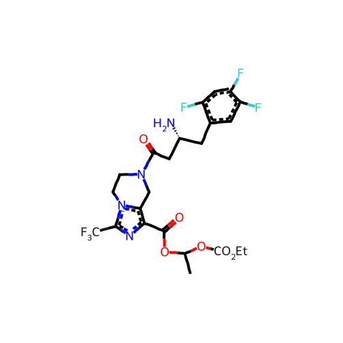 CCOC(=O)OC(C)OC(=O)c1nc(C(F)(F)F)n2c1CN(C(=O)C[C@H](N)Cc1cc(F)c(F)cc1F)CC2